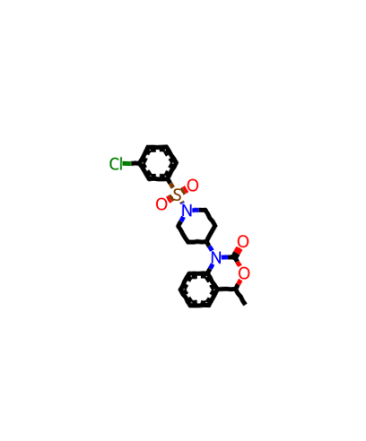 CC1OC(=O)N(C2CCN(S(=O)(=O)c3cccc(Cl)c3)CC2)c2ccccc21